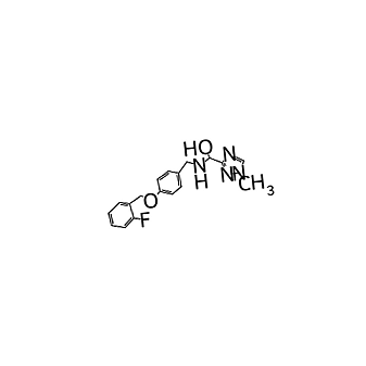 Cn1cnc(C(O)NCc2ccc(OCc3ccccc3F)cc2)n1